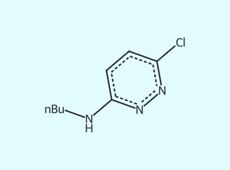 CCCCNc1ccc(Cl)nn1